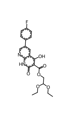 CCOC(COC(=O)c1c(O)c2cc(-c3ccc(F)cc3)cnc2[nH]c1=O)OCC